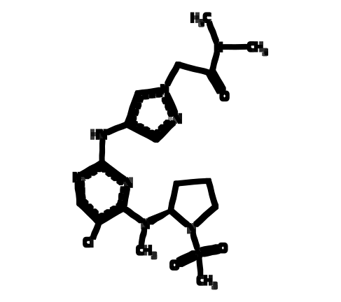 CN(C)C(=O)Cn1cc(Nc2ncc(Cl)c(N(C)[C@H]3CCCN3S(C)(=O)=O)n2)cn1